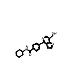 O=C(NC1CCCCC1)c1ccc(-c2ncc(CO)c3occc23)cc1